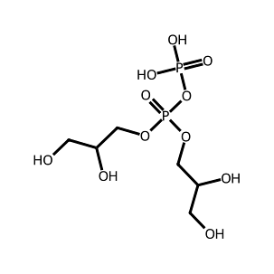 O=P(O)(O)OP(=O)(OCC(O)CO)OCC(O)CO